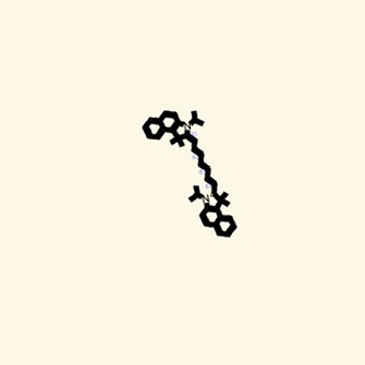 CC(C)N1/C(=C/C=C/C=C/C=C/C2=[N+](C(C)C)c3ccc4ccccc4c3C2(C)C)C(C)(C)c2c1ccc1ccccc21